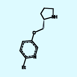 CCc1ccc(OC[C@@H]2CCCN2)cn1